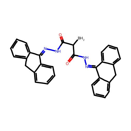 BC(C(=O)NN=C1c2ccccc2Cc2ccccc21)C(=O)NN=C1c2ccccc2Cc2ccccc21